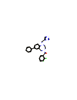 O=C(c1cccc(Cl)c1Cl)N1CCN(Cc2c[nH]cn2)c2ccc(-c3ccccc3)cc2C1